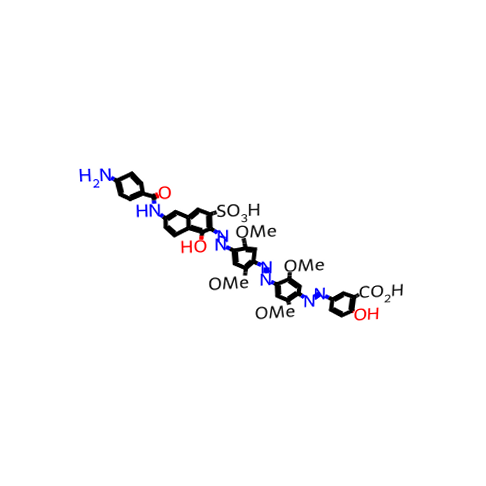 COc1cc(N=Nc2cc(OC)c(N=Nc3c(S(=O)(=O)O)cc4cc(NC(=O)c5ccc(N)cc5)ccc4c3O)cc2OC)c(OC)cc1N=Nc1ccc(O)c(C(=O)O)c1